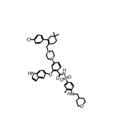 Cc1cc(S(=O)(=O)NC(=O)c2ccc(N3CCN(CC4=C(c5ccc(Cl)cc5)CC(C)(C)CC4)CC3)cc2Oc2ccc3[nH]ccc3c2)ccc1NCC1CCOCC1